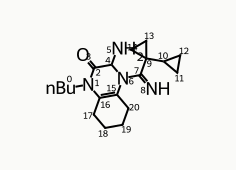 CCCCN1C(=O)C(N)N(C(=N)C2(C3CC3)CC2)C2=C1CCCC2